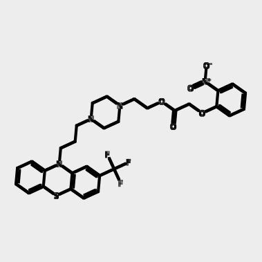 O=C(COc1ccccc1[N+](=O)[O-])OCCN1CCN(CCCN2c3ccccc3Sc3ccc(C(F)(F)F)cc32)CC1